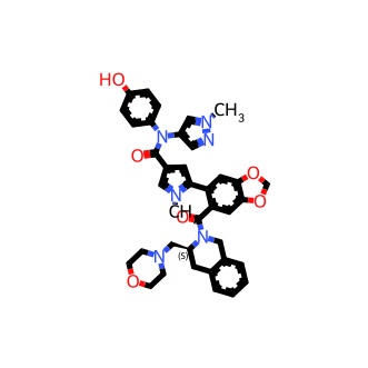 Cn1cc(N(C(=O)c2cc(-c3cc4c(cc3C(=O)N3Cc5ccccc5C[C@H]3CN3CCOCC3)OCO4)n(C)c2)c2ccc(O)cc2)cn1